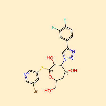 OCC1C[C@H](O)C(n2cc(-c3ccc(F)c(F)c3)nn2)C(O)[C@@H](Sc2cncc(Br)c2)O1